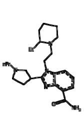 CCCN1CCC(c2nc3c(C(N)=O)cccc3n2CCN2CCCCC2CC)C1